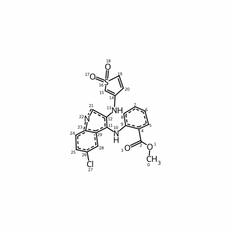 COC(=O)c1ccccc1Nc1c(NC2=CS(=O)(=O)C=C2)cnc2ccc(Cl)cc12